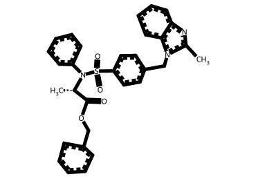 Cc1nc2ccccc2n1Cc1ccc(S(=O)(=O)N(c2ccccc2)[C@@H](C)C(=O)OCc2ccccc2)cc1